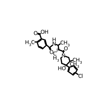 Cc1ccc(C(=O)NC(C)[C@@H](C)C(=O)N2CC[C@](O)(c3ccc(Cl)cc3)C(C)(C)C2)cc1C(=O)O